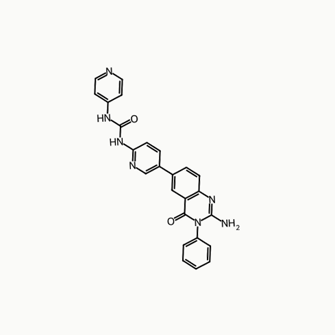 Nc1nc2ccc(-c3ccc(NC(=O)Nc4ccncc4)nc3)cc2c(=O)n1-c1ccccc1